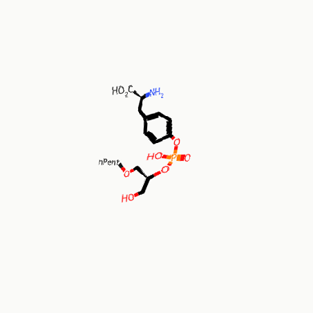 CCCCCOC[C@H](CO)OP(=O)(O)Oc1ccc(C[C@H](N)C(=O)O)cc1